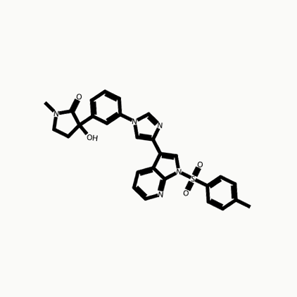 Cc1ccc(S(=O)(=O)n2cc(-c3cn(-c4cccc(C5(O)CCN(C)C5=O)c4)cn3)c3cccnc32)cc1